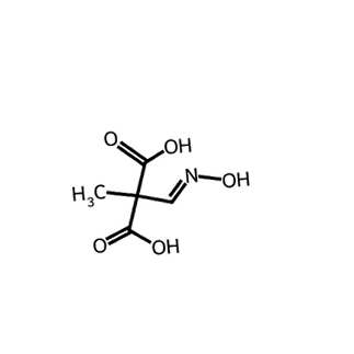 CC(C=NO)(C(=O)O)C(=O)O